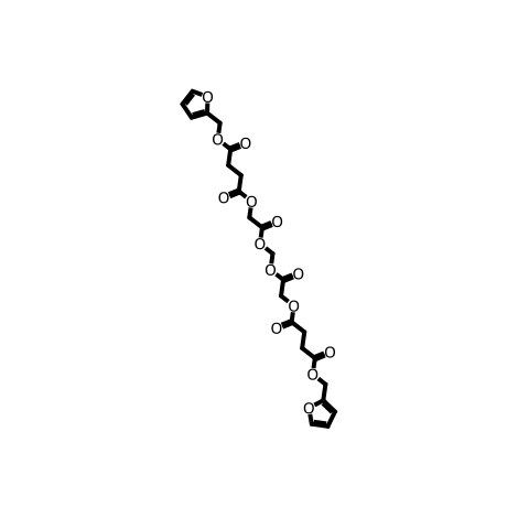 O=C(CCC(=O)OCc1ccco1)OCC(=O)OCOC(=O)COC(=O)CCC(=O)OCc1ccco1